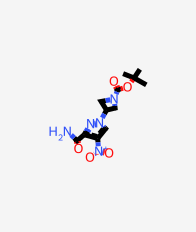 CC(C)(C)OC(=O)N1CC(n2cc([N+](=O)[O-])c(C(N)=O)n2)C1